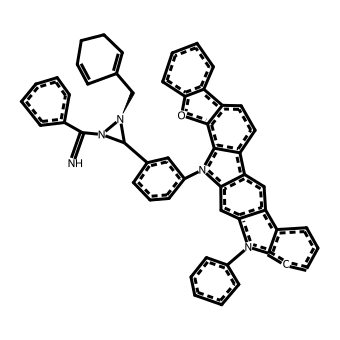 N=C(c1ccccc1)N1C(c2cccc(-n3c4cc5c(cc4c4ccc6c7ccccc7oc6c43)c3ccccc3n5-c3ccccc3)c2)[N@]1CC1=CCCC=C1